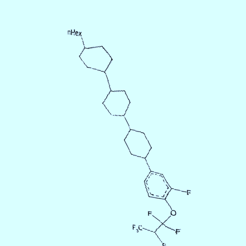 CCCCCCC1CCC(C2CCC(C3CCC(c4ccc(OC(F)(F)C(F)C(F)(F)F)c(F)c4)CC3)CC2)CC1